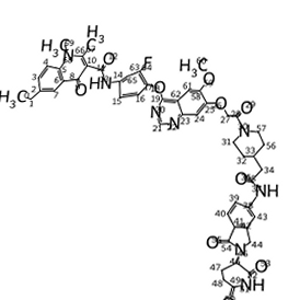 CCc1ccc2c(c1)c(=O)c(C(=O)Nc1ccc(Oc3ncnc4cc(OCC(=O)N5CCC(CC(=O)Nc6ccc7c(c6)CN(C6CCC(=O)NC6=O)C7=O)CC5)c(OC)cc34)c(F)c1)c(C)n2C